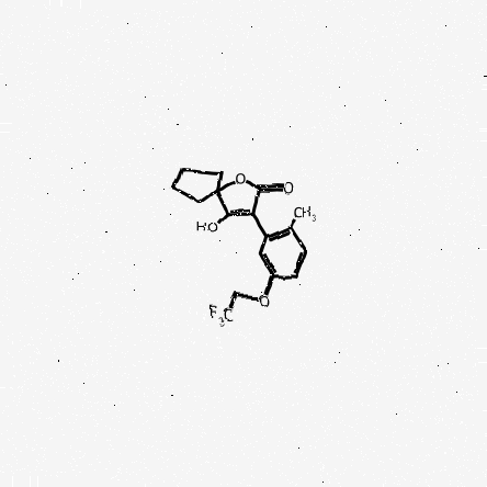 Cc1ccc(OCC(F)(F)F)cc1C1=C(O)C2(CCCC2)OC1=O